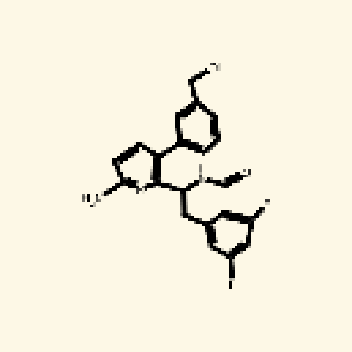 Nc1ccc(-c2cccc(CO)c2)c(C(Cc2cc(F)cc(F)c2)NC=O)n1